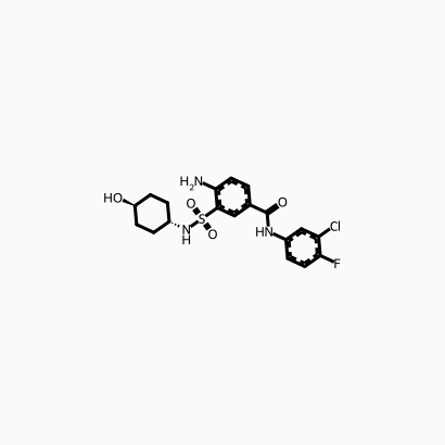 Nc1ccc(C(=O)Nc2ccc(F)c(Cl)c2)cc1S(=O)(=O)N[C@H]1CC[C@H](O)CC1